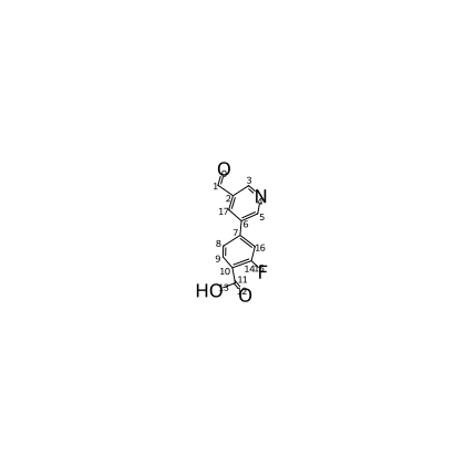 O=Cc1cncc(-c2ccc(C(=O)O)c(F)c2)c1